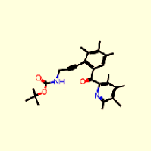 Cc1cc(C(=O)c2nc(C)c(C)c(C)c2C)c(C#CCNC(=O)OC(C)(C)C)c(C)c1C